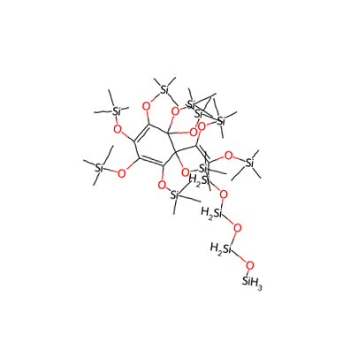 C[Si](C)(C)OC([SiH2]O[SiH2]O[SiH2]O[SiH3])=C(O[Si](C)(C)C)C1(O[Si](C)(C)C)C(O[Si](C)(C)C)=C(O[Si](C)(C)C)C(O[Si](C)(C)C)=C(O[Si](C)(C)C)C1(O[Si](C)(C)C)O[Si](C)(C)C